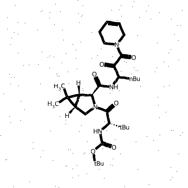 CCCCC(NC(=O)[C@@H]1[C@@H]2[C@H](CN1C(=O)[C@@H](NC(=O)OC(C)(C)C)C(C)(C)C)C2(C)C)C(=O)C(=O)N1CC=CCC1